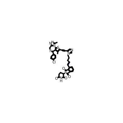 Cc1c(C#Cc2cncn2CCC/C=C/c2cccc3c2C(=O)N(C2CCC(=O)NC2=O)C3=O)sc2c1C(c1ccc(Cl)cc1)=NCc1nnc(C)n1-2